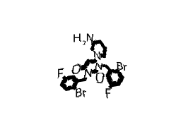 N[C@@H]1CCCN(c2cc(=O)n(Cc3cc(F)ccc3Br)c(=O)n2Cc2cc(F)ccc2Br)C1